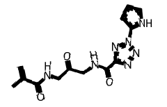 C=C(C)C(=O)NCC(=O)CNC(=O)c1nnn(-c2ccc[nH]2)n1